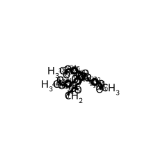 C=CCOC(=O)CCC(CP(=O)(OCc1ccc(OC(C)=O)cc1)OCc1ccc(OC(C)=O)cc1)C(=O)OCc1ccc(OC(C)=O)cc1